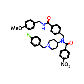 COc1ccc(CNC(=O)c2ccc(CN(C(=O)c3ccc([N+](=O)[O-])cc3)C3CCN(Cc4ccc(F)cc4)CC3)cc2)cc1